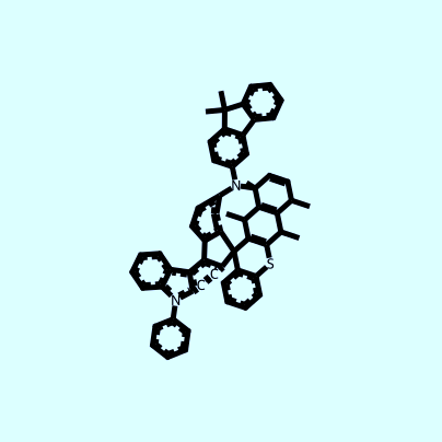 CC1C=CC2(C)C3=C1C(C)C1=C(C3C)C3(c4ccccc4S1)c1cc(ccc1-c1c3ccc3c1c1ccccc1n3-c1ccccc1)N2c1ccc2c(c1)-c1ccccc1C2(C)C